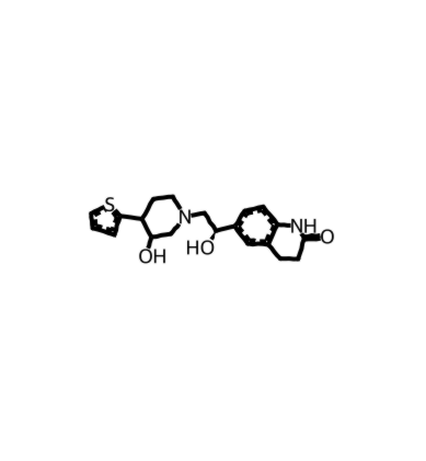 O=C1CCc2cc([C@@H](O)CN3CCC(c4cccs4)C(O)C3)ccc2N1